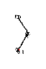 O=C(O)CCCCCCCCCCCCCCCCC(=O)OC(=O)CCCCCCCCCCCCCCCCC(=O)O